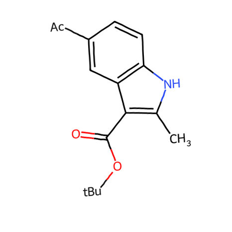 CC(=O)c1ccc2[nH]c(C)c(C(=O)OC(C)(C)C)c2c1